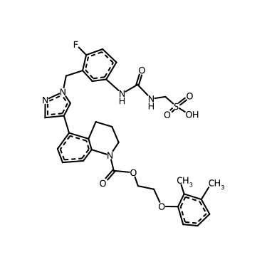 Cc1cccc(OCCOC(=O)N2CCCc3c(-c4cnn(Cc5cc(NC(=O)NCS(=O)(=O)O)ccc5F)c4)cccc32)c1C